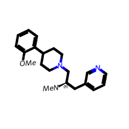 CN[C@H](Cc1cccnc1)CN1CCC(c2ccccc2OC)CC1